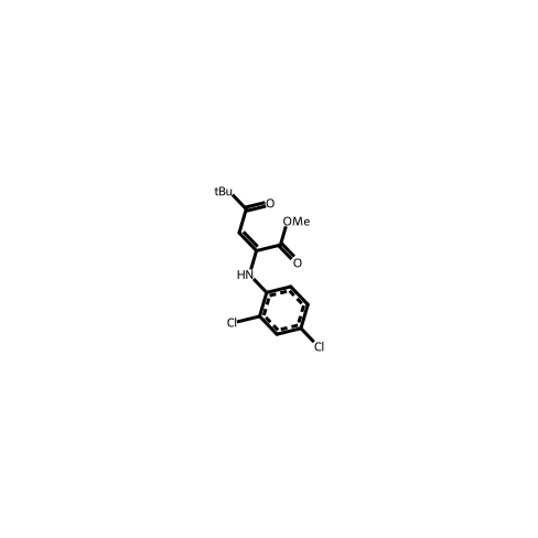 COC(=O)C(=CC(=O)C(C)(C)C)Nc1ccc(Cl)cc1Cl